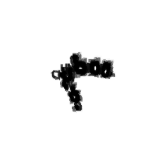 COc1ccc(Cn2ccc3c(Cl)nc(Nc4ccc(N5CCC(N6CCN(C)CC6)CC5)cc4OC)nc32)cc1